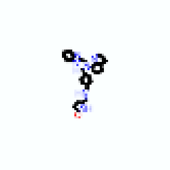 O=C1CCC(CNCc2ccc(CN(Cc3nc4ccccc4[nH]3)[C@H]3CCCc4cccnc43)cc2)N1